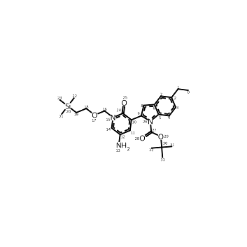 CCc1ccc2c(c1)cc(-c1cc(N)cn(COCC[Si](C)(C)C)c1=O)n2C(=O)OC(C)(C)C